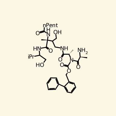 CCCCCC(=O)N[C@@](C)(C(=O)NC(CO)C(C)C)C(CO)CNC(=O)[C@H](C)N(C(=O)OCc1ccccc1-c1ccccc1)C(=O)[C@H](C)N